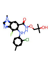 Cc1ccc(Nc2c(C(=O)NOCC(C)(C)O)cc3c(ncn3C)c2F)c(Cl)c1